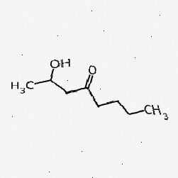 CCCCC(=O)CC(C)O